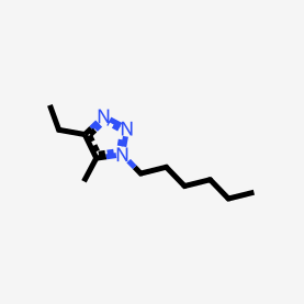 CCCCCCn1nnc(CC)c1C